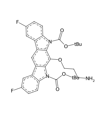 CC(C)(C)OC(=O)n1c2ccc(F)cc2c2cc3c4cc(F)ccc4n(C(=O)OC(C)(C)C)c3c(OCCCN)c21